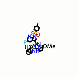 CCOC(=O)[C@@H]1C2CCC(CC2)[C@H]1Nc1nc(-c2cn(S(=O)(=O)c3ccc(C)cc3)c3ncc(F)cc23)nn2c(OC)ccc12